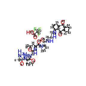 CCC[C@H](NC(=O)[C@H](C)N)C(=O)NCC(=O)N[C@@H](CC(C)C)C(=O)N1CCC[C@H]1C(=O)NCCCNc1cccc2c1C(=O)c1ccccc1C2=O.O=C(O)C(F)(F)F